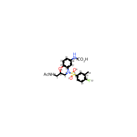 CC(=O)NCC1CN(S(=O)(=O)c2ccc(F)c(C)c2)c2cc(NC(=O)O)ccc2O1